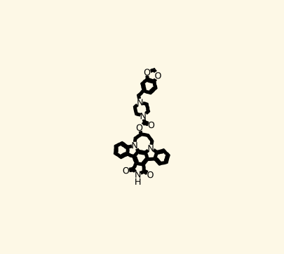 O=C1NC(=O)c2c1c1c3ccccc3n3c1c1c2c2ccccc2n1CC(OC(=O)N1CCN(Cc2ccc4c(c2)OCO4)CC1)CC3